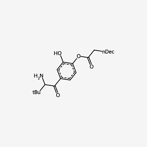 CCCCCCCCCCCC(=O)Oc1ccc(C(=O)C(N)C(C)(C)C)cc1O